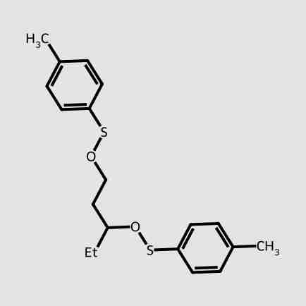 CCC(CCOSc1ccc(C)cc1)OSc1ccc(C)cc1